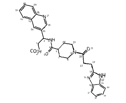 O=C(O)CC(NC(=O)C1CCN(C(=O)CCc2nc3ccccc3[nH]2)CC1)c1cnc2ccccc2c1